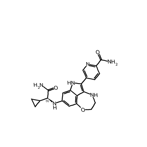 NC(=O)c1ccc(-c2[nH]c3cc(N[C@H](C(N)=O)C4CC4)cc4c3c2NCCO4)cn1